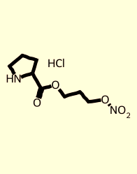 Cl.O=C(OCCCO[N+](=O)[O-])C1CCCN1